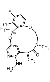 C=C1C(=O)N(C)CCOc2ccc(F)c(Cl)c2[C@@H](C)Oc2cnc(NC)c1c2